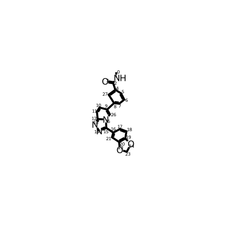 CNC(=O)c1cccc(-c2ccc3nnc(-c4ccc5c(c4)OCO5)n3c2)c1